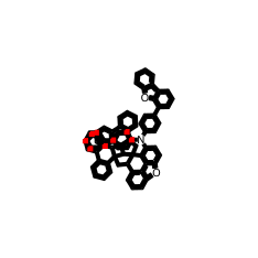 c1ccc(-c2ccc(N(c3ccc(-c4cccc5c4oc4ccccc45)cc3)c3ccc4oc5cccc6c5c4c3C34CC5c7ccccc7-c7ccccc7C57C5c8ccccc8-c8ccccc8C5(CC63)C47)cc2)cc1